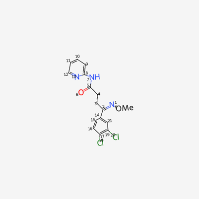 CON=C(CCC(=O)Nc1ccccn1)c1ccc(Cl)c(Cl)c1